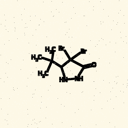 CC(C)(C)C1NNC(=O)C1(Br)Br